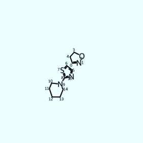 C1=NOCC1.c1csc(N2CCCCC2)n1